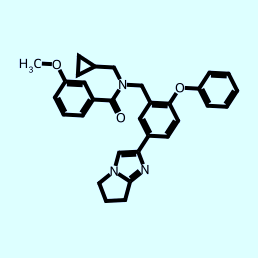 COc1cccc(C(=O)N(Cc2cc(-c3cn4c(n3)CCC4)ccc2Oc2ccccc2)CC2CC2)c1